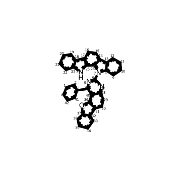 c1ccc(-c2nc(-n3c4ccccc4c4ccc5c6ccccc6[nH]c5c43)nc3ccc4c5ccccc5oc4c23)cc1